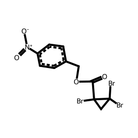 O=C(OCc1ccc([N+](=O)[O-])cc1)C1(Br)CC1(Br)Br